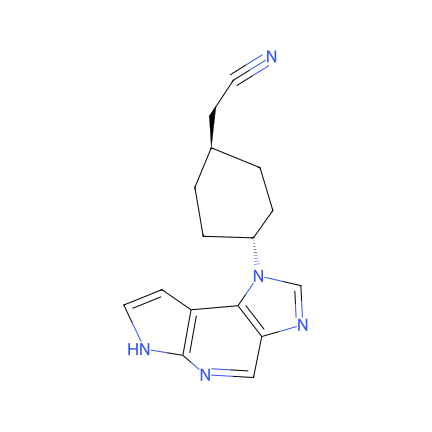 N#CC[C@H]1CC[C@H](n2cnc3cnc4[nH]ccc4c32)CC1